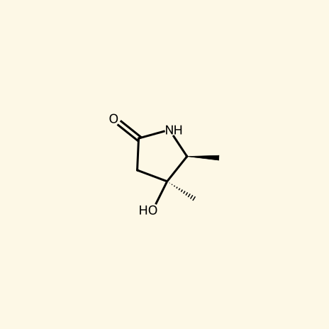 C[C@@H]1NC(=O)C[C@]1(C)O